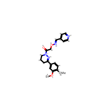 CCOc1cc(C2=NN(C(=O)CO/N=C/c3ccncc3)CCC2)ccc1OC